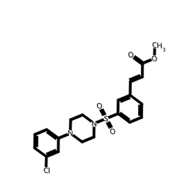 COC(=O)C=Cc1cccc(S(=O)(=O)N2CCN(c3cccc(Cl)c3)CC2)c1